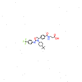 CC(C)(C)C1CCC(N2/C(=N/c3ccc(C(F)(F)F)cc3)OCC2c2ccc(C(=O)NCCC(=O)O)cc2)CC1